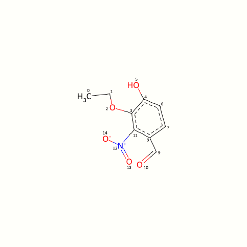 CCOc1c(O)ccc(C=O)c1[N+](=O)[O-]